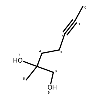 [CH2]C#CCCC(C)(O)CO